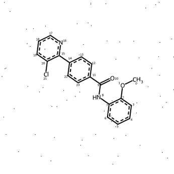 COc1ccccc1NC(=O)c1ccc(-c2ncccc2Cl)cc1